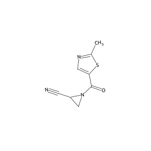 Cc1ncc(C(=O)N2CC2C#N)s1